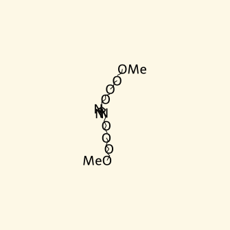 COCCOCCOCCOCCn1cc(COCCOCCOCCOC)nn1